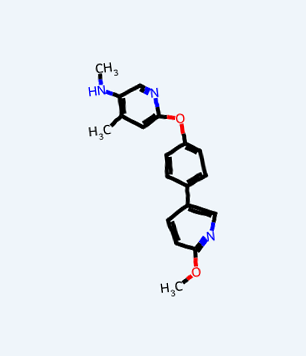 CNc1cnc(Oc2ccc(-c3ccc(OC)nc3)cc2)cc1C